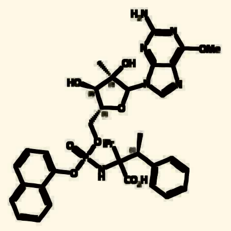 COc1nc(N)nc2c1ncn2C1O[C@H](COP(=O)(NC(C(=O)O)(C(C)C)[C@@H](C)c2ccccc2)Oc2cccc3ccccc23)[C@@H](O)[C@@]1(C)O